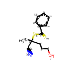 CC(C#N)(CCCO)SC(=S)c1ccccc1